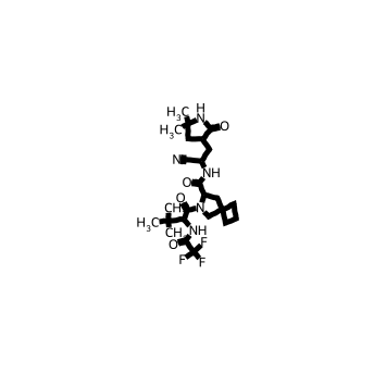 CC1(C)CC(CC(C#N)NC(=O)C2CC3(CCC3)CN2C(=O)C(NC(=O)C(F)(F)F)C(C)(C)C)C(=O)N1